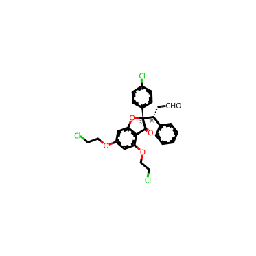 O=CC[C@H](c1ccccc1)[C@@]1(c2ccc(Cl)cc2)Oc2cc(OCCCl)cc(OCCCl)c2C1=O